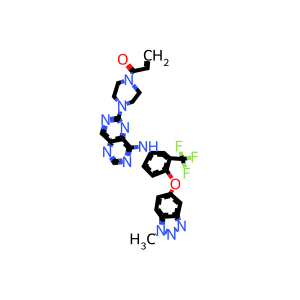 C=CC(=O)N1CCN(c2ncc3ncnc(Nc4ccc(Oc5ccc6c(c5)nnn6C)c(C(F)(F)F)c4)c3n2)CC1